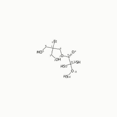 CCC(CO)(CO)COC(=O)C(S)(S)OS